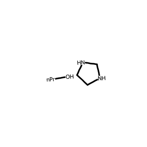 C1CNCN1.CCCO